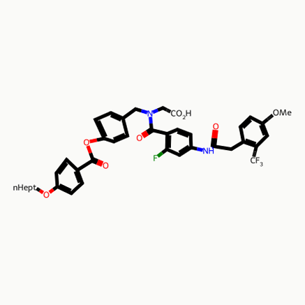 CCCCCCCOc1ccc(C(=O)Oc2ccc(CN(CC(=O)O)C(=O)c3ccc(NC(=O)Cc4ccc(OC)cc4C(F)(F)F)cc3F)cc2)cc1